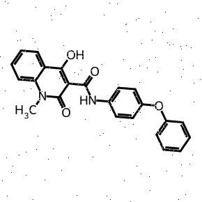 Cn1c(=O)c(C(=O)Nc2ccc(Oc3ccccc3)cc2)c(O)c2ccccc21